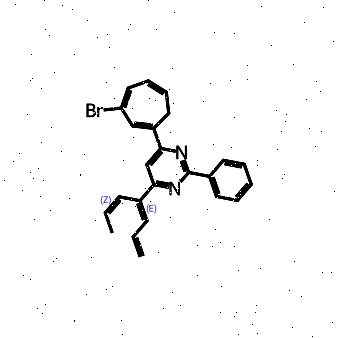 C=C/C=C(\C=C/C)c1cc(C2=CC(Br)=CC=CC2)nc(-c2ccccc2)n1